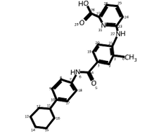 Cc1cc(C(=O)Nc2ccc(C3CCCCC3)cc2)ccc1Nc1cccc(C(=O)O)n1